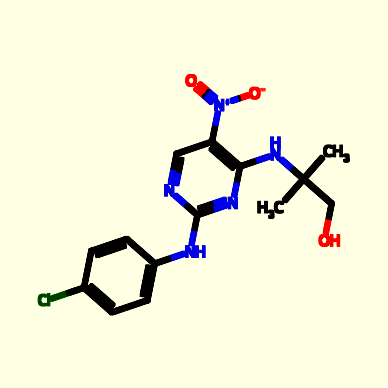 CC(C)(CO)Nc1nc(Nc2ccc(Cl)cc2)ncc1[N+](=O)[O-]